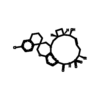 CC[C@@H]1C/C=C/[C@H](O)[C@@H]2CC[C@H]2CN2C[C@@]3(CCCc4cc(Cl)ccc43)COc3ccc(cc32)C(=O)NS1(=O)=O